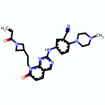 C=CC(=O)N1CC(CCn2c(=O)ccc3cnc(Nc4ccc(N5CCN(C)CC5)c(C#N)c4)nc32)C1